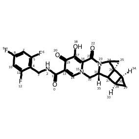 O=C(NCc1c(F)cc(F)cc1F)c1cn2c(c(O)c1=O)C(=O)N1C3C[C@]34C([C@@H]3C[C@@H]34)[C@@H]1C2